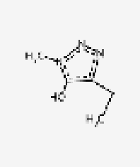 CCc1nnn(C)c1O